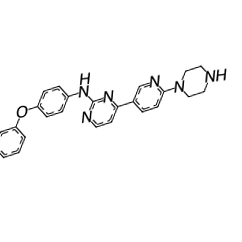 c1ccc(Oc2ccc(Nc3nccc(-c4ccc(N5CCNCC5)nc4)n3)cc2)cc1